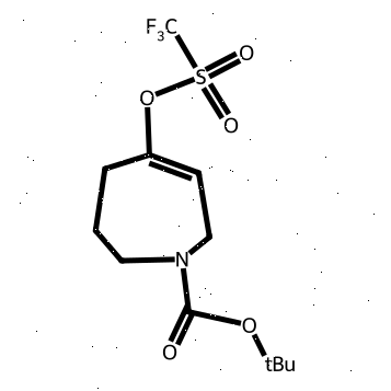 CC(C)(C)OC(=O)N1CC=C(OS(=O)(=O)C(F)(F)F)CCC1